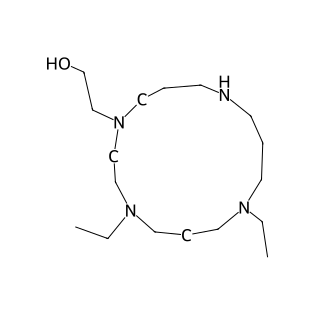 CCN1CCCNCCCN(CCO)CCN(CC)CCC1